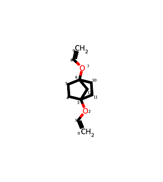 C=COC12CCC(OC=C)(CC1)C2